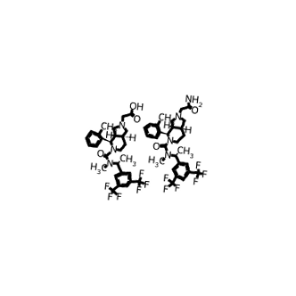 Cc1ccccc1[C@H]1[C@@H]2CN(CC(=O)O)C[C@H]2CCN1C(=O)N(C)[C@H](C)c1cc(C(F)(F)F)cc(C(F)(F)F)c1.Cc1ccccc1[C@H]1[C@@H]2CN(CC(N)=O)C[C@H]2CCN1C(=O)N(C)[C@H](C)c1cc(C(F)(F)F)cc(C(F)(F)F)c1